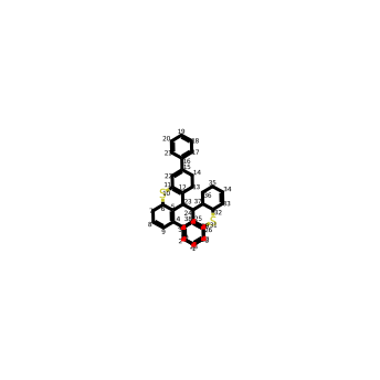 C1=CCC(C2=C3C(CC=C2)SC2=C(CCC(c4ccccc4)=C2)C3C2C3=C(CCC=C3)SC3C=CCCC32)C=C1